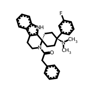 CN(C)[C@]1(c2cccc(F)c2)CC[C@@]2(CC1)c1[nH]c3ccccc3c1CCN2C(=O)Cc1ccccc1